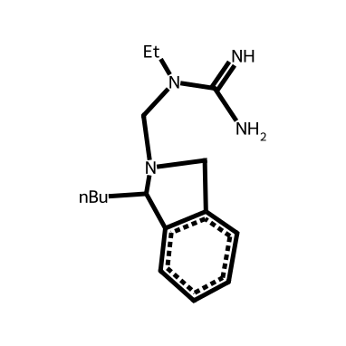 CCCCC1c2ccccc2CN1CN(CC)C(=N)N